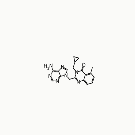 Cc1cccc2nc(Cn3cnc4c(N)ncnc43)n(CC3CC3)c(=O)c12